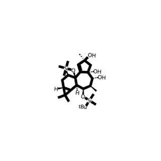 C[C@H]1[C@@H](O[Si](C)(C)C(C)(C)C)[C@H]2C3[C@@H](C[C@@H](C)[C@]2(O[Si](C)(C)C)C2=C[C@@](C)(O)C[C@@]2(O)[C@@H]1O)C3(C)C